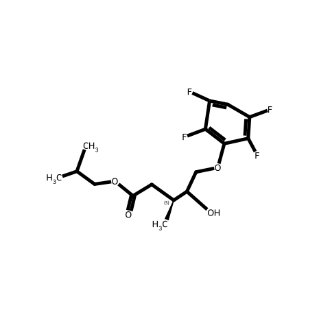 CC(C)COC(=O)C[C@H](C)C(O)COc1c(F)c(F)cc(F)c1F